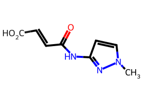 Cn1ccc(NC(=O)/C=C/C(=O)O)n1